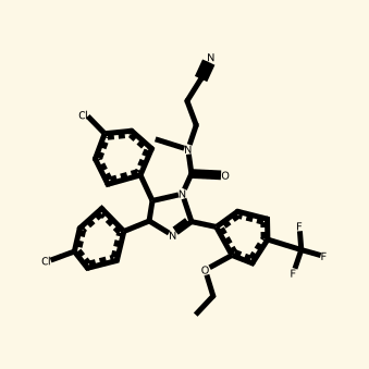 CCOc1cc(C(F)(F)F)ccc1C1=NC(c2ccc(Cl)cc2)C(c2ccc(Cl)cc2)N1C(=O)N(C)CCC#N